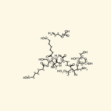 CCCCCCCCCCCCCCCC(=O)OC([C@H](CO)OC(=O)CCCCCCCCCCCCCCC)[C@@](C)(N)C(=O)N[C@H](CCC(=O)N(C(C(C)=O)C(C)O[C@@H]1[C@@H](N)[C@@H](O)O[C@H](CO)[C@H]1O)[C@@H](C)C(=O)O)C(N)=O.NCCO[PH](=O)O